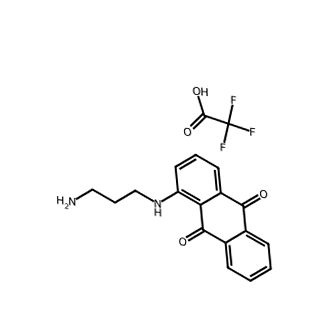 NCCCNc1cccc2c1C(=O)c1ccccc1C2=O.O=C(O)C(F)(F)F